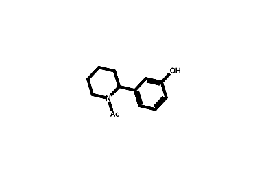 CC(=O)N1CCCCC1c1cccc(O)c1